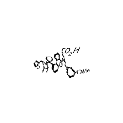 COc1cccc(CCN(CCC(=O)O)C(=O)c2ccccc2-c2ccccc2C(=O)NCc2cccs2)c1